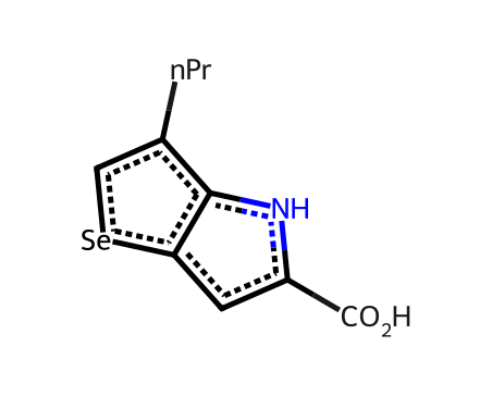 CCCc1c[se]c2cc(C(=O)O)[nH]c12